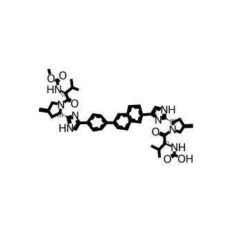 C=C1C[C@@H](c2nc(-c3ccc4cc(-c5ccc(-c6c[nH]c([C@@H]7CC(=C)CN7C(=O)[C@@H](NC(=O)OC)C(C)C)n6)cc5)ccc4c3)c[nH]2)N(C(=O)[C@@H](NC(=O)O)C(C)C)C1